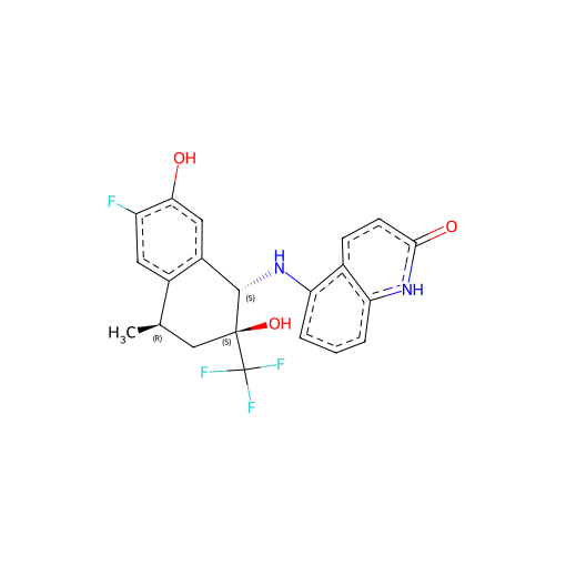 C[C@@H]1C[C@@](O)(C(F)(F)F)[C@@H](Nc2cccc3[nH]c(=O)ccc23)c2cc(O)c(F)cc21